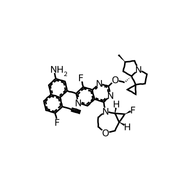 C#Cc1c(F)ccc2cc(N)cc(-c3ncc4c(N5CCOC[C@H]6[C@H](F)[C@H]65)nc(OC[C@]56C[C@@H](C)CN5CCC65CC5)nc4c3F)c12